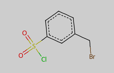 O=S(=O)(Cl)c1cccc(CBr)c1